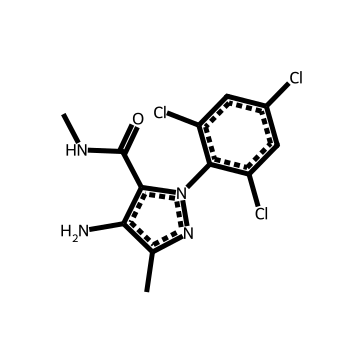 CNC(=O)c1c(N)c(C)nn1-c1c(Cl)cc(Cl)cc1Cl